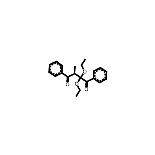 CCOC(OCC)(C(=O)c1ccccc1)C(C)C(=O)c1ccccc1